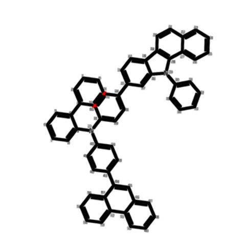 c1ccc(-c2ccccc2N(c2ccc(-c3ccc4c5ccc6ccccc6c5n(-c5ccccc5)c4c3)cc2)c2ccc(-c3cc4ccccc4c4ccccc34)cc2)cc1